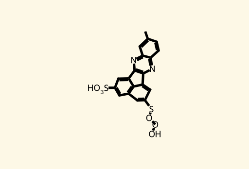 Cc1ccc2nc3c(nc2c1)-c1cc(S(=O)(=O)O)cc2cc(SOOO)cc-3c12